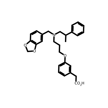 CC(CN(CCCOc1cccc(CC(=O)O)c1)Cc1ccc2c(c1)OCO2)c1ccccc1